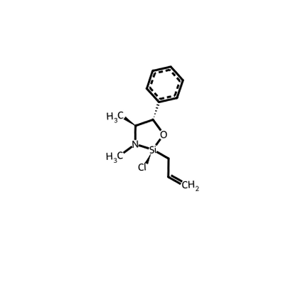 C=CC[Si@@]1(Cl)O[C@@H](c2ccccc2)[C@H](C)N1C